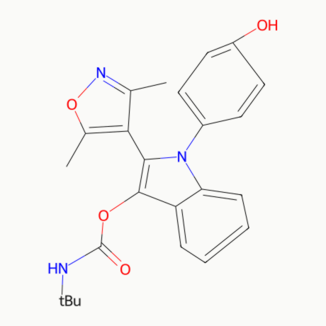 Cc1noc(C)c1-c1c(OC(=O)NC(C)(C)C)c2ccccc2n1-c1ccc(O)cc1